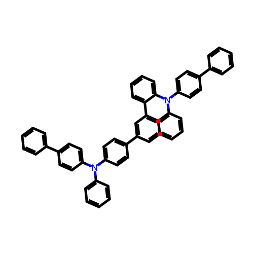 c1ccc(-c2ccc(N(c3ccccc3)c3ccc(-c4cccc(-c5ccccc5N(c5ccccc5)c5ccc(-c6ccccc6)cc5)c4)cc3)cc2)cc1